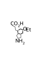 CCOc1cc(CCCC(=O)O)c2c(c1)CC(N)C2